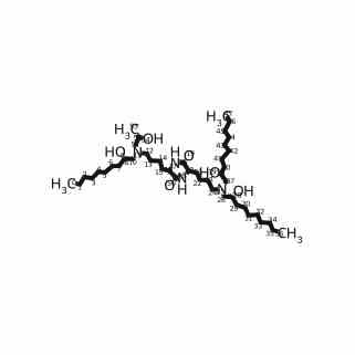 CCCCCCCCC(O)CN(CCCCC1NC(=O)C(CCCCN(CC(O)CCCCCCCC)CC(O)CCCCCCCC)NC1=O)CC(C)O